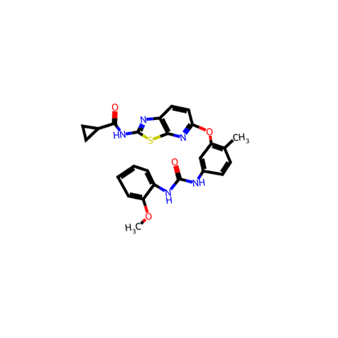 COc1ccccc1NC(=O)Nc1ccc(C)c(Oc2ccc3nc(NC(=O)C4CC4)sc3n2)c1